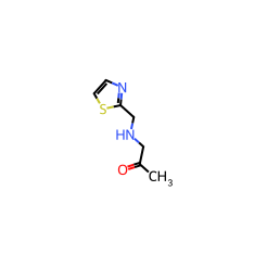 CC(=O)CNCc1nccs1